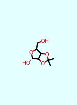 CC1(C)OC2C(CO)O[C@@H](O)C2O1